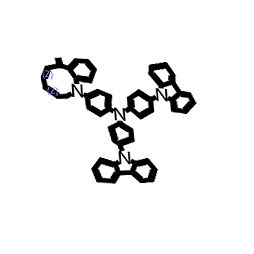 C=C1/C=C\C=C/CN(c2ccc(N(c3ccc(-n4c5ccccc5c5ccccc54)cc3)c3ccc(-n4c5ccccc5c5ccccc54)cc3)cc2)c2ccccc21